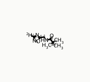 [2H]c1noc(CNC(=O)C(C)(C)C)n1